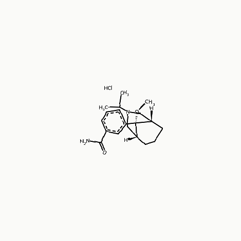 CO[C@@]1(c2cccc(C(N)=O)c2)[C@@H]2CCC[C@H]1CN(C(C)C)C2.Cl